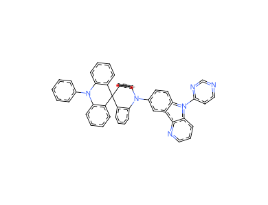 c1ccc(N2c3ccccc3C3(c4ccccc42)c2ccccc2N(c2ccc4c(c2)c2ncccc2n4-c2ccncn2)c2ccccc23)cc1